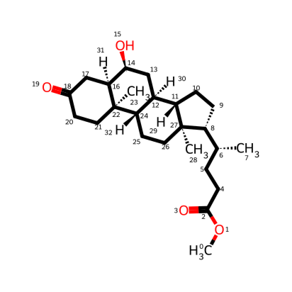 COC(=O)CC[C@@H](C)[C@H]1CC[C@H]2[C@@H]3C[C@H](O)[C@@H]4CC(=O)CC[C@]4(C)[C@H]3CC[C@]12C